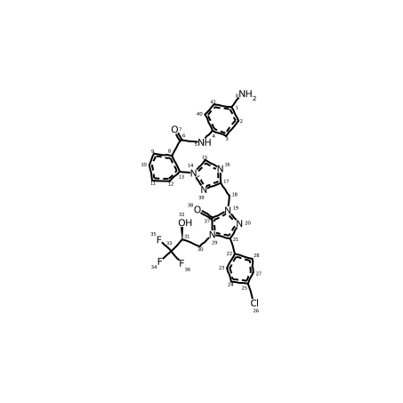 Nc1ccc(NC(=O)c2ccccc2-n2cnc(Cn3nc(-c4ccc(Cl)cc4)n(C[C@H](O)C(F)(F)F)c3=O)n2)cc1